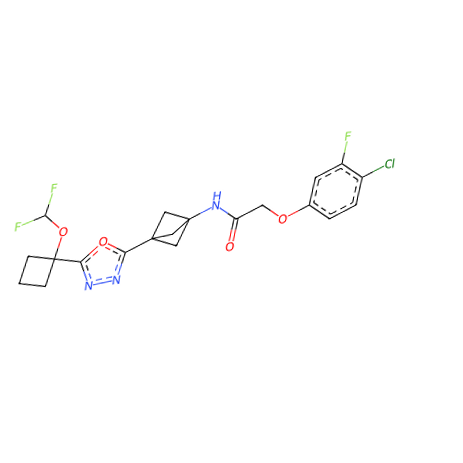 O=C(COc1ccc(Cl)c(F)c1)NC12CC(c3nnc(C4(OC(F)F)CCC4)o3)(C1)C2